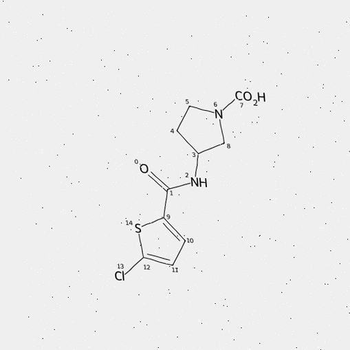 O=C(NC1CCN(C(=O)O)C1)c1ccc(Cl)s1